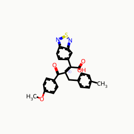 COc1ccc(C(=O)/C(Cc2ccc(C)cc2)=C(/C(=O)O)c2ccc3nsnc3c2)cc1